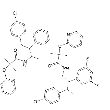 CC(NC(=O)C(C)(C)Oc1ccccn1)C(Cc1ccc(Cl)cc1)c1ccccc1.CC(c1ccc(Cl)cc1)C(CNC(=O)C(C)(C)Oc1ccccn1)c1cc(F)cc(F)c1